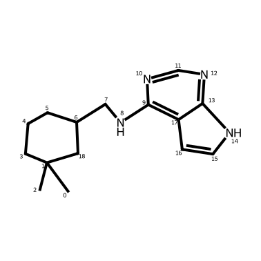 CC1(C)CCCC(CNc2ncnc3[nH]ccc23)C1